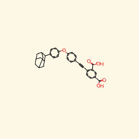 O=C(O)c1ccc(C#Cc2ccc(Oc3ccc(C4C5CC6CC(C5)CC4C6)cc3)cc2)c(C(=O)O)c1